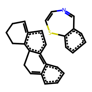 C1=CSc2ccccc2C=N1.C1=c2ccc3c(c2CCC1)CC=c1ccccc1=3